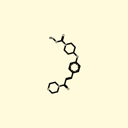 CC(C)(C)OC(=O)N1CCC(Oc2ccc(C=CC(=O)N3CCOCC3)cc2)CC1